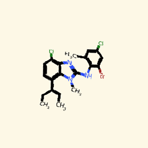 CCC(CC)c1ccc(Cl)c2nc(Nc3c(C)cc(Cl)cc3Br)n(C)c12